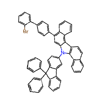 Brc1ccccc1-c1ccc(-c2cc3c(c4ccccc24)c2ccc4ccccc4c2n3-c2ccc3c(c2)-c2ccccc2C3(c2ccccc2)c2ccccc2)cc1